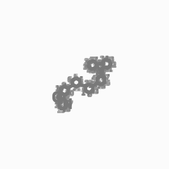 c1cc(-c2cccc(-c3ccc4oc5cccnc5c4c3)c2)cc(-c2cccc(-n3c4ccccc4c4ccccc43)c2)c1